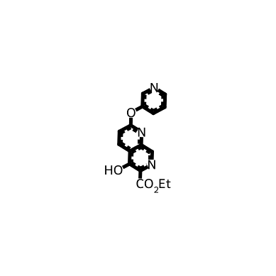 CCOC(=O)c1ncc2nc(Oc3cccnc3)ccc2c1O